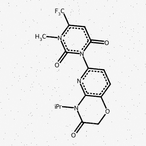 CC(C)N1C(=O)COc2ccc(-n3c(=O)cc(C(F)(F)F)n(C)c3=O)nc21